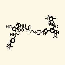 Cc1cc(C)c(CNC(=O)c2cc(-c3ccc(N4CCN(CCNC(=O)CCC(=O)N[C@H](C(=O)N5C[C@H](O)C[C@H]5C(=O)NCc5ccc(-c6scnc6C)cc5)C(C)(C)C)CC4)nc3)cc3c2cnn3C(C)C)c(=O)[nH]1